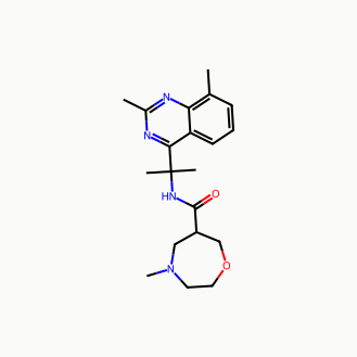 Cc1nc(C(C)(C)NC(=O)C2COCCN(C)C2)c2cccc(C)c2n1